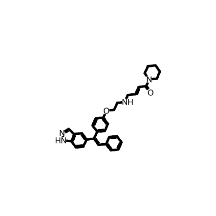 O=C(/C=C/CNCCOc1ccc(/C(=C\c2ccccc2)c2ccc3[nH]ncc3c2)cc1)N1CCCCC1